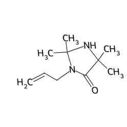 C=CCN1C(=O)C(C)(C)NC1(C)C